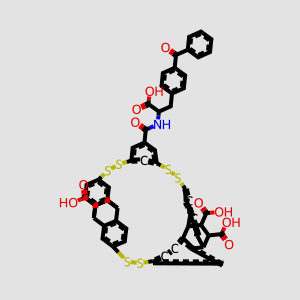 O=C(NC(Cc1ccc(C(=O)c2ccccc2)cc1)C(=O)O)c1cc2cc(c1)SSc1ccc3c(c1)C1c4ccc(cc4C3C(C(=O)O)C1C(=O)O)SSc1ccc3c(c1)C1c4ccc(cc4C3CC1C(=O)O)SS2